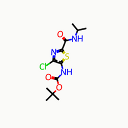 CC(C)NC(=O)c1nc(Cl)c(NC(=O)OC(C)(C)C)s1